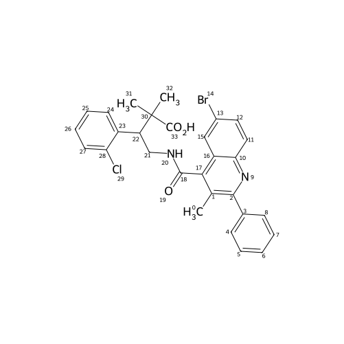 Cc1c(-c2ccccc2)nc2ccc(Br)cc2c1C(=O)NCC(c1ccccc1Cl)C(C)(C)C(=O)O